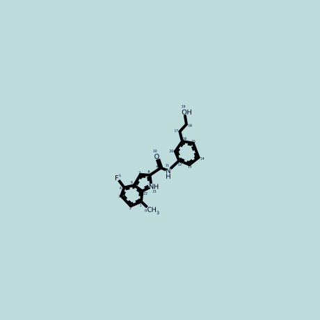 Cc1ccc(F)c2cc(C(=O)Nc3cccc(CCO)c3)[nH]c12